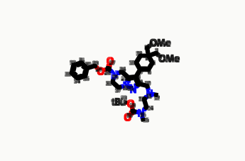 COCC1(COC)CC=C(c2c(CN(C)CCN(C)C(=O)OC(C)(C)C)nn3c2CN(C(=O)OCc2ccccc2)CC3)CC1